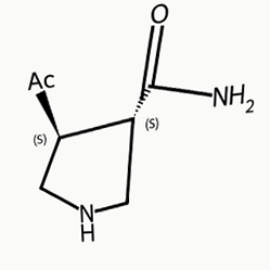 CC(=O)[C@@H]1CNC[C@H]1C(N)=O